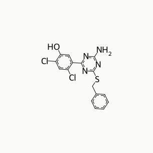 Nc1nc(SCc2ccccc2)nc(-c2cc(O)c(Cl)cc2Cl)n1